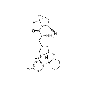 N#C[C@@H]1CC2C[C@@H]2N1C(=O)[C@@H](N)CN1C[C@@H]2C[C@H]1C(=O)N2C1(c2ccc(F)cc2)CCCCC1